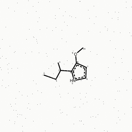 CCC(C)c1[nH]ccc1OC